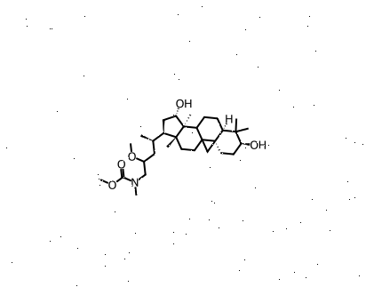 COC(=O)N(C)CC(C[C@@H](C)[C@H]1C[C@H](O)[C@@]2(C)C3CC[C@H]4C(C)(C)[C@@H](O)CC[C@@]45CC35CC[C@]12C)OC